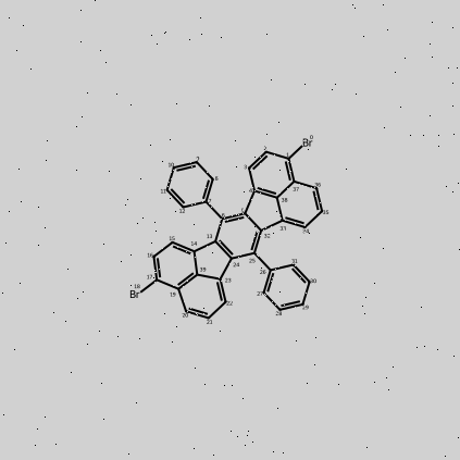 Brc1ccc2c3c(-c4ccccc4)c4c5ccc(Br)c6cccc(c4c(-c4ccccc4)c3c3cccc1c32)c65